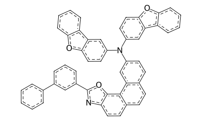 c1ccc(-c2cccc(-c3nc4ccc5ccc6ccc(N(c7ccc8oc9ccccc9c8c7)c7ccc8oc9ccccc9c8c7)cc6c5c4o3)c2)cc1